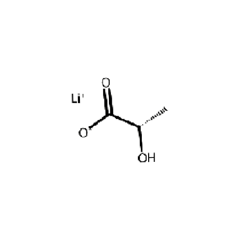 C[C@H](O)C(=O)[O-].[Li+]